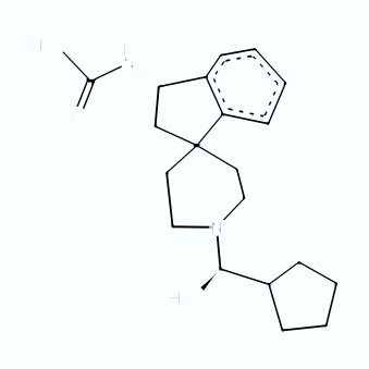 CC(=O)N[C@H]1CC2(CCN([C@H](C)C3CCCC3)CC2)c2ccccc21